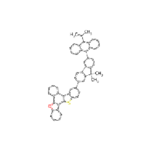 C=C(C)c1c2ccccc2c(-c2ccc3c(c2)-c2ccc(-c4ccc5sc6c(c5c4)c4ccccc4c4oc5ccccc5c46)cc2C3(C)C)c2ccccc12